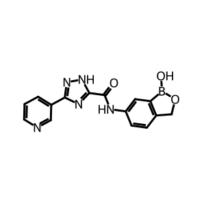 O=C(Nc1ccc2c(c1)B(O)OC2)c1nc(-c2cccnc2)n[nH]1